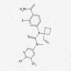 C=CC1(N(C(=S)N(C)c2cnc(CC)c(C(F)(F)F)c2)c2ccc(C(=C)N)c(F)c2)CCC1